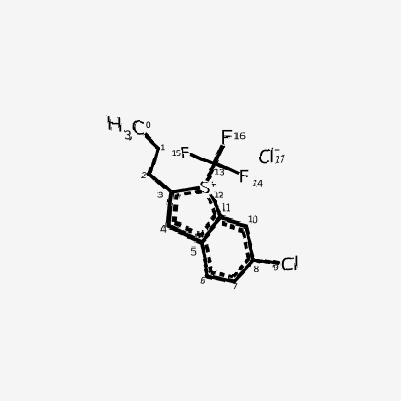 CCCc1cc2ccc(Cl)cc2[s+]1C(F)(F)F.[Cl-]